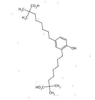 CC(C)(CCCCCCc1ccc(O)c(CCCCCCC(C)(C)C(=O)O)c1)C(=O)O